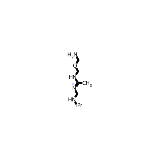 C/C(=N\CNC(C)C)NCOCN